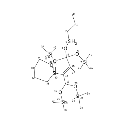 CCC[SiH2]OC(O[Si](C)(C)C)(O[Si](C)(C)C)/C(C)=C(/C(O[Si](C)(C)C)O[Si](C)(C)C)[SiH]1CCCCO1